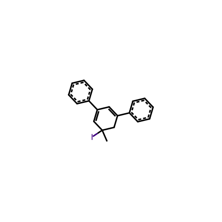 CC1(I)C=C(c2ccccc2)C=C(c2ccccc2)C1